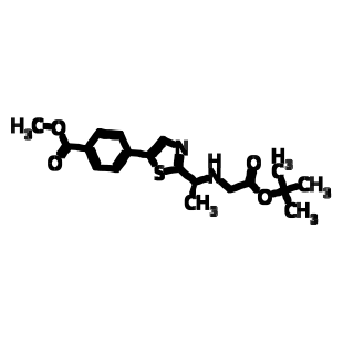 COC(=O)c1ccc(-c2cnc([C@H](C)NCC(=O)OC(C)(C)C)s2)cc1